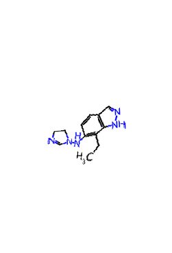 CCc1c(NN2C=NCC2)ccc2cn[nH]c12